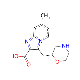 Cc1ccn2c(CC3CNCCO3)c(C(=O)O)nc2c1